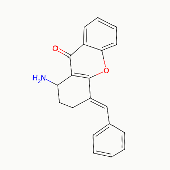 NC1CCC(=Cc2ccccc2)c2oc3ccccc3c(=O)c21